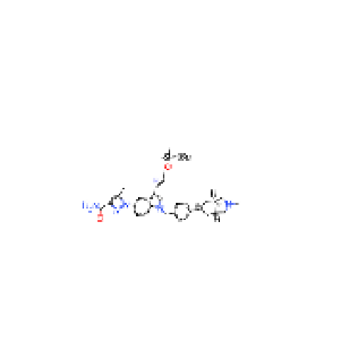 Cc1cc(C(N)=O)nn1-c1ccc2c(c1)c(/C=C/CO[Si](C)(C)C(C)(C)C)cn2Cc1ccc([C@H]2C[C@@H]3CN(C)C[C@@H]3C2)cc1